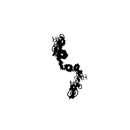 Cc1ccc(C(=O)NCC(=O)Nc2nc(-c3cccc(N4CCC(N(C)CCCc5cccc6c5n(C)c(=O)n6C5CCC(=O)NC5=O)CC4)c3)cs2)cc1S(=O)(=O)C(C)C